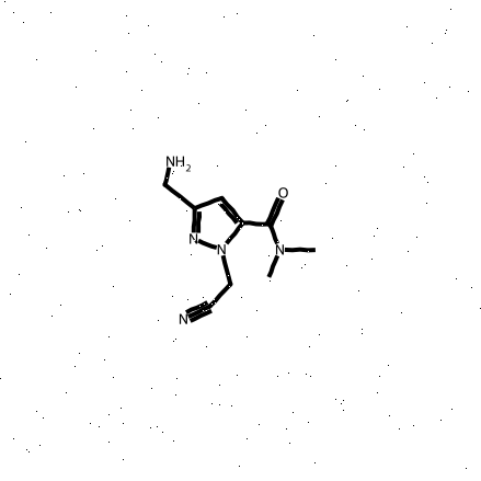 CN(C)C(=O)c1cc(CN)nn1CC#N